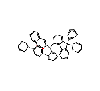 c1ccc(-c2ccc(-c3ccccc3N(c3ccc4ccccc4c3)c3cccc4c3-c3ccccc3C4(c3ccccc3)c3ccccc3)cc2)cc1